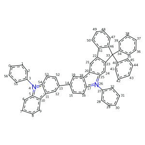 c1ccc(-n2c3ccccc3c3cc(-c4ccc5c(c4)c4cc6c(cc4n5-c4ccccc4)C(c4ccccc4)(c4ccccc4)c4ccccc4-6)ccc32)cc1